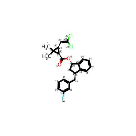 CC1(C)[C@H](C(=O)O[C@H]2C[C@H](Cc3cccc(F)c3)c3ccccc32)[C@@H]1C=C(Cl)Cl